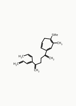 C=C/C=C(\C=C/C)C(=C)CCC(=C)C1=CC(C)=C(SC)CC=C1